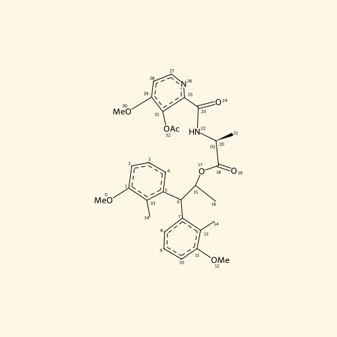 COc1cccc(C(c2cccc(OC)c2C)C(C)OC(=O)[C@H](C)NC(=O)c2nccc(OC)c2OC(C)=O)c1C